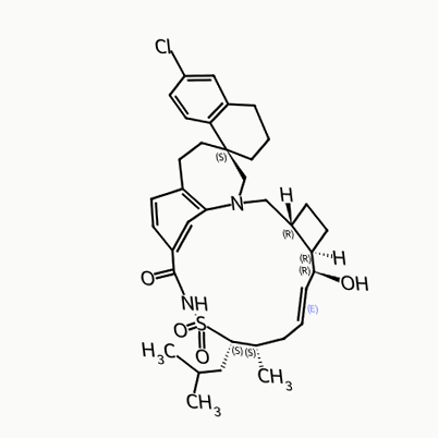 CC(C)C[C@H]1[C@@H](C)C/C=C/[C@H](O)[C@@H]2CC[C@H]2CN2C[C@@]3(CCCc4cc(Cl)ccc43)CCc3ccc(cc32)C(=O)NS1(=O)=O